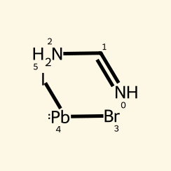 N=CN.[Br][Pb][I]